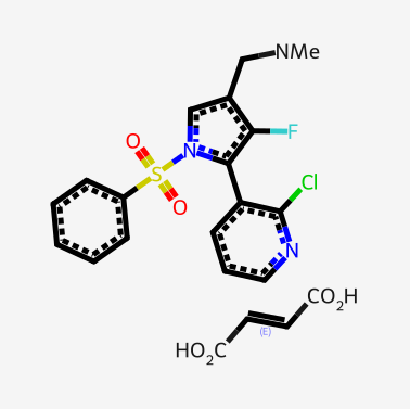 CNCc1cn(S(=O)(=O)c2ccccc2)c(-c2cccnc2Cl)c1F.O=C(O)/C=C/C(=O)O